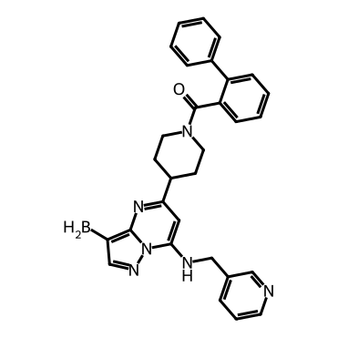 Bc1cnn2c(NCc3cccnc3)cc(C3CCN(C(=O)c4ccccc4-c4ccccc4)CC3)nc12